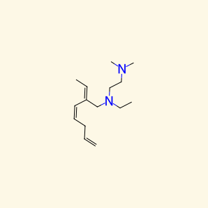 C=CC/C=C\C(=C/C)CN(CC)CCN(C)C